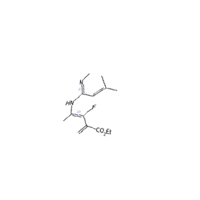 C=C(C(=O)OCC)/C(F)=C(\C)N/C(C=C(C)C)=N/C